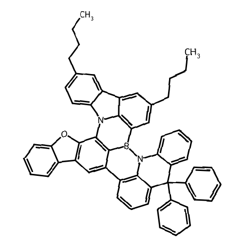 CCCCc1ccc2c(c1)c1cc(CCCC)cc3c1n2-c1c2c(cc4c1oc1ccccc14)-c1cccc4c1N(B23)c1ccccc1C4(c1ccccc1)c1ccccc1